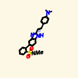 CNS(=O)(=O)c1ccccc1-c1ccc2[nH]c(/C=C/c3ccc(N(C)C)cc3)nc2c1